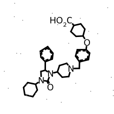 O=C(O)C1CCC(Oc2ccc(CN3CCC(N4C(=O)N(C5CCCCC5)CC4c4ccccc4)CC3)cc2)CC1